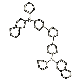 c1ccc(N(c2ccc(-c3cccc(-c4ccc(N(c5ccccc5)c5ccc6ccccc6c5)cc4)c3)cc2)c2ccc3ccccc3c2)cc1